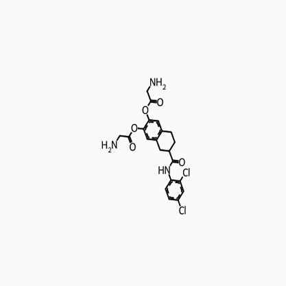 NCC(=O)Oc1cc2c(cc1OC(=O)CN)CC(C(=O)Nc1ccc(Cl)cc1Cl)CC2